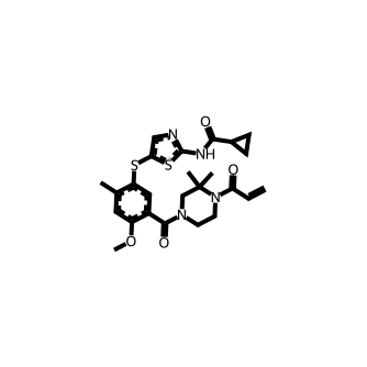 C=CC(=O)N1CCN(C(=O)c2cc(Sc3cnc(NC(=O)C4CC4)s3)c(C)cc2OC)CC1(C)C